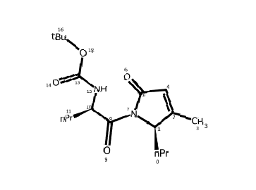 CCC[C@@H]1C(C)=CC(=O)N1C(=O)[C@@H](CCC)NC(=O)OC(C)(C)C